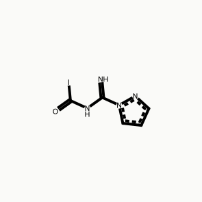 N=C(NC(=O)I)n1cccn1